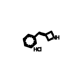 C(=C1CNC1)c1ccccc1.Cl